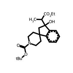 CCOC(=O)C(C)C1(O)CC2(CCN(C(=O)OC(C)(C)C)CC2)c2ccccc21